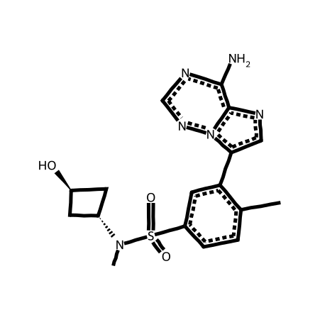 Cc1ccc(S(=O)(=O)N(C)[C@H]2C[C@H](O)C2)cc1-c1cnc2c(N)ncnn12